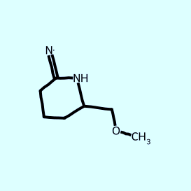 COCC1CCCC(=[N])N1